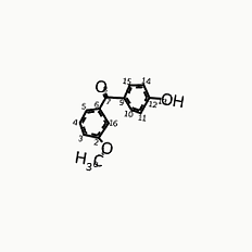 COc1cccc(C(=O)c2ccc(O)cc2)c1